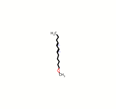 CCC/C=C/C=C/CCCCCOC